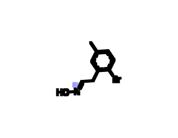 Cc1ccc(Br)c(C/C=N/O)c1